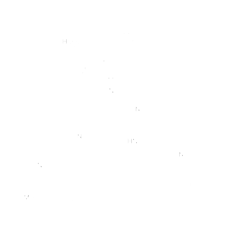 CCC(=O)N1CCC(Nc2ncnc3c2CN(c2cnc(OC)c(C(F)(F)F)c2)CC3)C1.O=C(O)CC(O)(CC(=O)O)C(=O)O